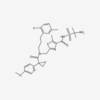 COc1ccc(C2(C(=O)N(CCCc3cc(C)ccc3F)Cc3nc(C(=O)NS(=O)(=O)C(C)(C)N)c(C)s3)CC2)nc1